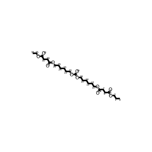 CCCOC(=O)CCC(=O)OCCCCCCOC(=O)OCCCCCCOC(=O)CCC(=O)OCC